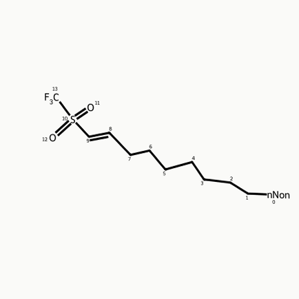 CCCCCCCCCCCCCCCCC=CS(=O)(=O)C(F)(F)F